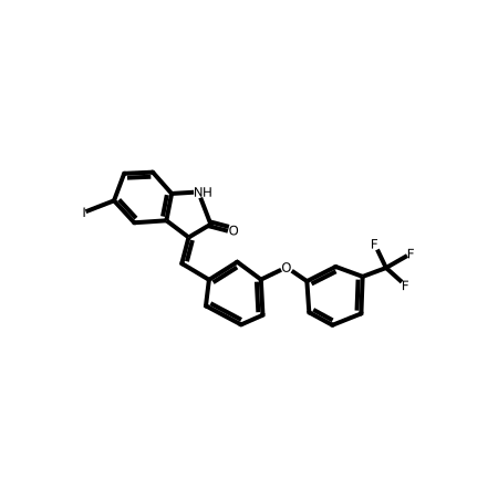 O=C1Nc2ccc(I)cc2C1=Cc1cccc(Oc2cccc(C(F)(F)F)c2)c1